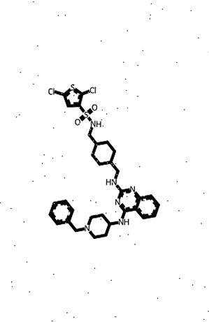 O=S(=O)(NCC1CCC(CNc2nc(NC3CCN(Cc4ccccc4)CC3)c3ccccc3n2)CC1)c1cc(Cl)sc1Cl